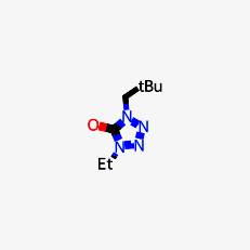 CCn1nnn(CC(C)(C)C)c1=O